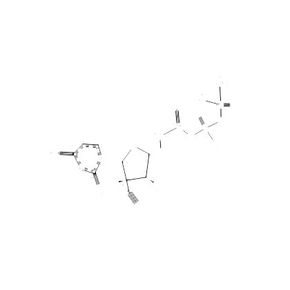 C#C[C@@]1(O)[C@H](O)[C@@H](CO[PH](=O)OP(=O)(O)OP(=O)(O)O)O[C@H]1n1ccc(=O)[nH]c1=O